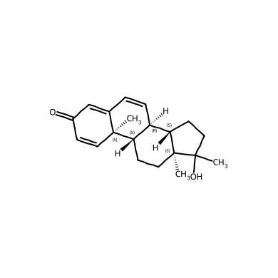 CC1(O)CC[C@H]2[C@@H]3C=CC4=CC(=O)C=C[C@]4(C)[C@H]3CC[C@@]21C